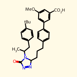 COc1cc(C(=O)O)cc(-c2ccc(CCCC3N=NC(=O)N3C(C)Cc3ccc(C(C)(C)C)cc3)cc2)c1